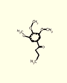 CCCC(=O)c1cc(OC)c(OC)c(OC)c1